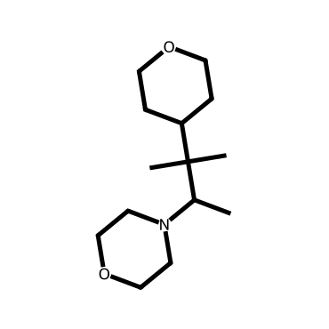 CC(N1CCOCC1)C(C)(C)C1CCOCC1